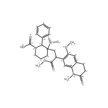 COC(=O)C(CC1([N+](=O)[O-])CCCN(C(=O)O)C1c1ccccc1)c1cc2c(cc1OC)CCC(=O)N2C